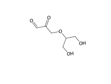 O=CC(=O)COC(CO)CO